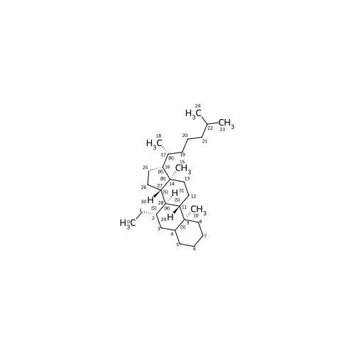 CC[C@H]1CC2CCCC[C@]2(C)[C@H]2CC[C@]3(C)[C@@H]([C@H](C)CCCC(C)C)CC[C@H]3[C@H]12